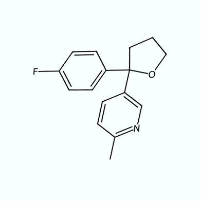 Cc1ccc(C2(c3ccc(F)cc3)CCCO2)cn1